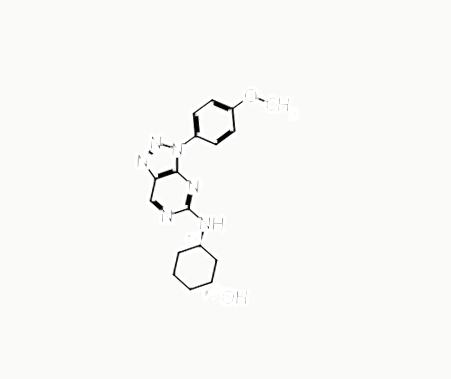 COc1ccc(-n2nnc3cnc(N[C@@H]4CCC[C@@H](O)C4)nc32)cc1